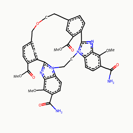 COC(=O)c1cc2ccc1-c1nc3c(OC)c(C(N)=O)ccc3n1CCn1c(nc3c(OC)c(C(N)=O)ccc31)-c1cc(ccc1C(=O)OC)COCC2